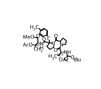 COC(=O)[C@@H](NC(=O)C1(Cc2ccc(C)cc2)CCCN1C(=O)C1CCCN1C(=O)[C@@H](NC(=O)OC(C)(C)C)[C@@H](C)OC(C)=O)[C@@H](C)OC(C)=O